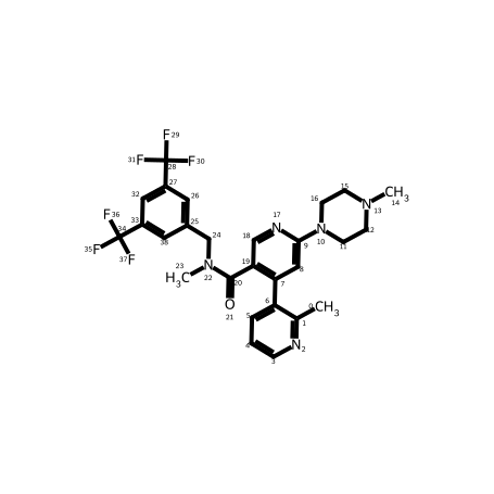 Cc1ncccc1-c1cc(N2CCN(C)CC2)ncc1C(=O)N(C)Cc1cc(C(F)(F)F)cc(C(F)(F)F)c1